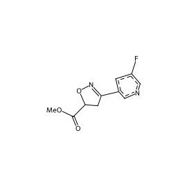 COC(=O)C1CC(c2cncc(F)c2)=NO1